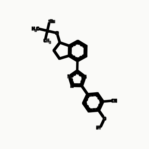 CC(C)Oc1ccc(-c2nnc(-c3cccc4c3CCC4O[Si](C)(C)C(C)(C)C)s2)cc1C#N